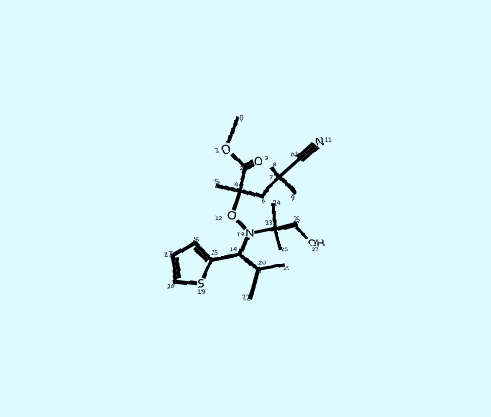 COC(=O)C(C)(CC(C)(C)C#N)ON(C(c1cccs1)C(C)C)C(C)(C)CO